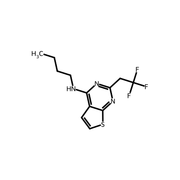 CCCCNc1nc(CC(F)(F)F)nc2sccc12